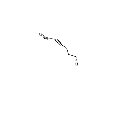 ClCCCC#[C][Mg][Cl]